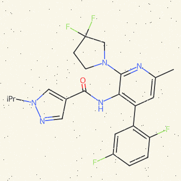 Cc1cc(-c2cc(F)ccc2F)c(NC(=O)c2cnn(C(C)C)c2)c(N2CCC(F)(F)C2)n1